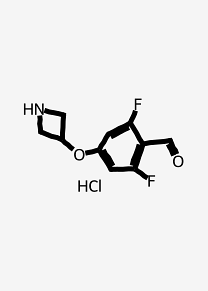 Cl.O=Cc1c(F)cc(OC2CNC2)cc1F